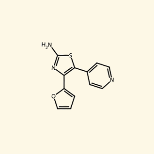 Nc1nc(-c2ccco2)c(-c2ccncc2)s1